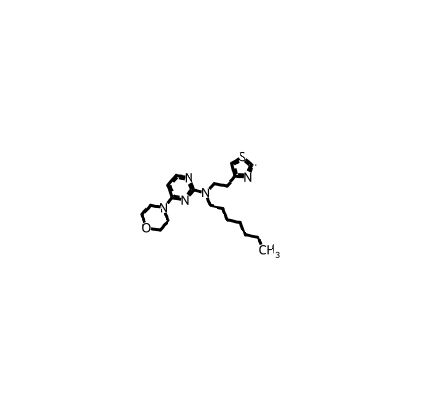 CCCCCCCN(CCc1cs[c]n1)c1nccc(N2CCOCC2)n1